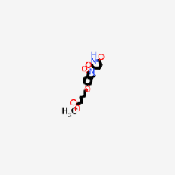 COC(=O)CCCCOc1ccc2c(c1)CN(C1CCC(=O)NC1=O)C2=O